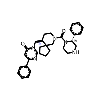 O=C(N1CC/C(=C/n2cnc(-c3ccccc3)cc2=O)C2(CCCC2)C1)N1CCNC[C@H]1c1ccccc1